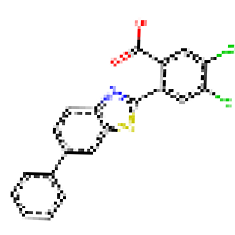 O=C(O)c1cc(Cl)c(Cl)cc1-c1nc2ccc(-c3ccccc3)cc2s1